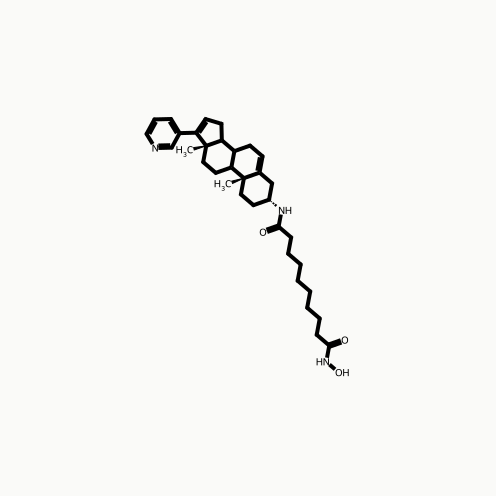 C[C@]12CC[C@@H](NC(=O)CCCCCCCCC(=O)NO)CC1=CCC1C2CC[C@]2(C)C(c3cccnc3)=CCC12